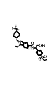 CC[C@@H]1c2ccc(C(=O)N[C@@H](CO)c3ccc(S(=O)(=O)CC)cc3)cc2CN1C[C@H]1CC[C@H](C(F)(F)F)CC1